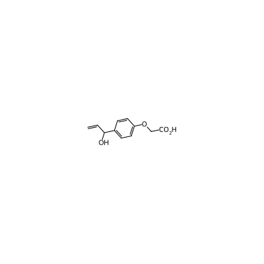 C=CC(O)c1ccc(OCC(=O)O)cc1